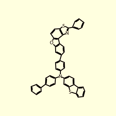 c1ccc(-c2ccc(N(c3ccc(-c4ccc5c(c4)oc4ccc6sc(-c7ccccc7)nc6c45)cc3)c3ccc4c(c3)sc3ccccc34)cc2)cc1